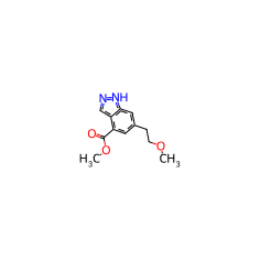 COCCc1cc(C(=O)OC)c2cn[nH]c2c1